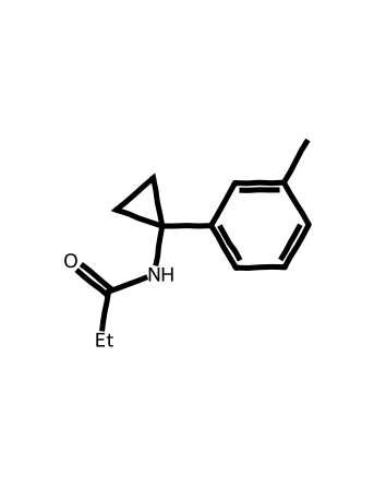 CCC(=O)NC1(c2cccc(C)c2)CC1